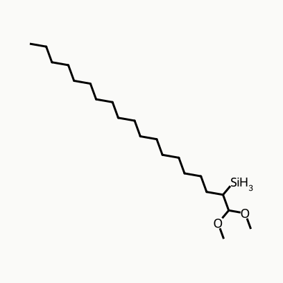 CCCCCCCCCCCCCCCCCC([SiH3])C(OC)OC